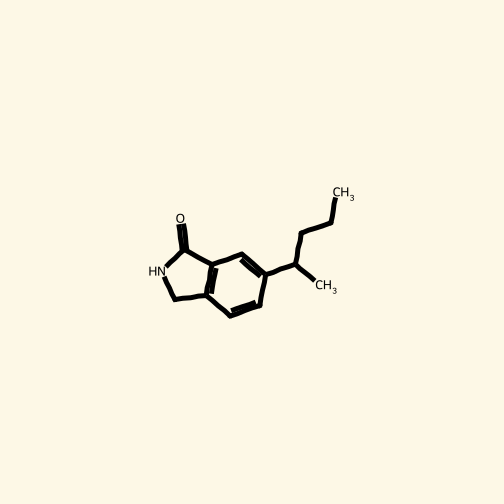 CCCC(C)c1ccc2c(c1)C(=O)NC2